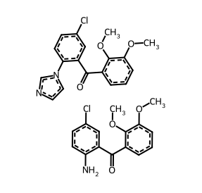 COc1cccc(C(=O)c2cc(Cl)ccc2-n2ccnc2)c1OC.COc1cccc(C(=O)c2cc(Cl)ccc2N)c1OC